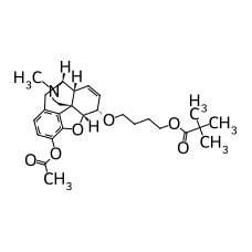 CC(=O)Oc1ccc2c3c1O[C@H]1[C@@H](OCCCCOC(=O)C(C)(C)C)C=C[C@H]4[C@@H](C2)N(C)CC[C@@]341